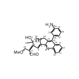 CC[C@](C)(O)C(/C=C1/c2nc3ccccc3c(-c3cccc(N)c3)c2CN1C)=C(/C=O)COC